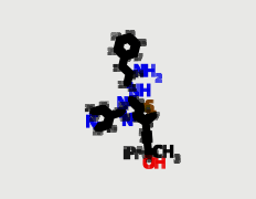 CC(C)[C@](C)(O)C#Cc1csc2c(NC[C@@H](N)Cc3ccccc3)nc(-c3ccncc3)nc12